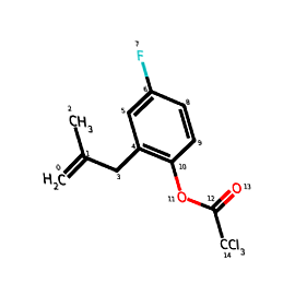 C=C(C)Cc1cc(F)ccc1OC(=O)C(Cl)(Cl)Cl